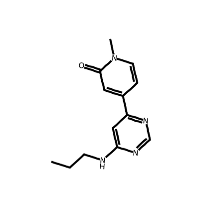 CCCNc1cc(-c2ccn(C)c(=O)c2)ncn1